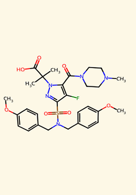 COc1ccc(CN(Cc2ccc(OC)cc2)S(=O)(=O)c2nn(C(C)(C)C(=O)O)c(C(=O)N3CCN(C)CC3)c2F)cc1